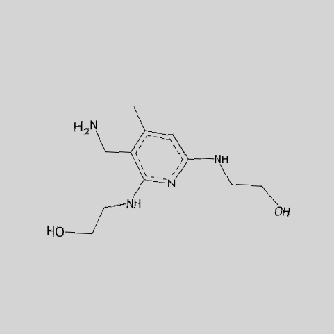 Cc1cc(NCCO)nc(NCCO)c1CN